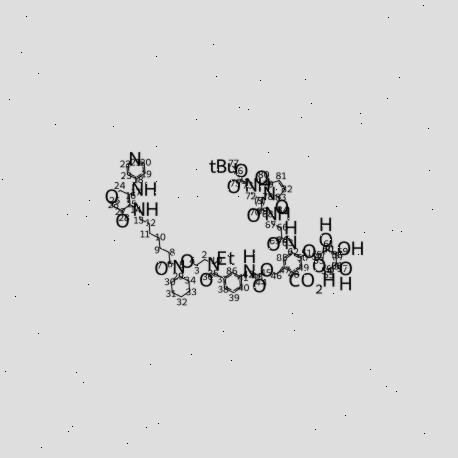 CCN(CCON(C(=O)CCCCCCNC1=C(Nc2ccncc2)COCC1=O)C1CCCCC1)C(=O)c1cccc(NC(=O)OCc2ccc(O[C@@H]3O[C@H](C(=O)O)[C@@H](O)[C@H](O)[C@H]3O)c(NC(=O)CCNC(=O)[C@H](CNC(=O)OC(C)(C)C)N3C(=O)C=CC3=O)c2)c1